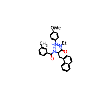 CCN(Nc1ccc(OC)cc1)C(=O)C(Cc1cccc2ccccc12)NC(=O)c1cccc(C)c1